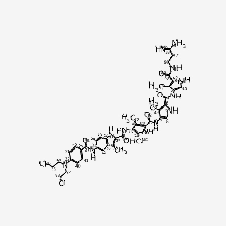 Cc1c(NC(=O)c2[nH]cc(NC(=O)c3[nH]cc(NC(=O)c4[nH]c5ccc(NC(=O)c6ccc(N(CCCl)CCCl)cc6)cc5c4C)c3C)c2C)c[nH]c1C(=O)NCCC(=N)N.Cl